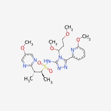 COCCC(OC)n1c(NS(=O)(=O)[C@@H](C)[C@H](C)c2ncc(OC)cn2)nnc1-c1cccc(OC)n1